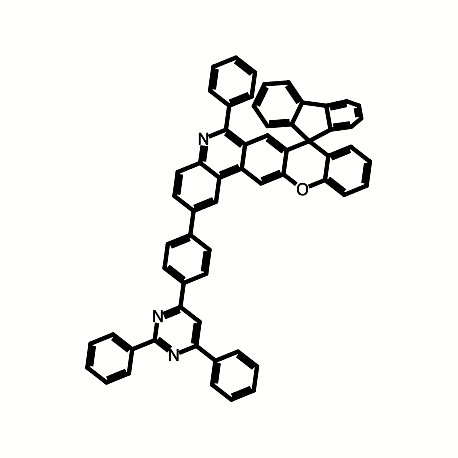 c1ccc(-c2cc(-c3ccc(-c4ccc5nc(-c6ccccc6)c6cc7c(cc6c5c4)Oc4ccccc4C74c5ccccc5-c5ccccc54)cc3)nc(-c3ccccc3)n2)cc1